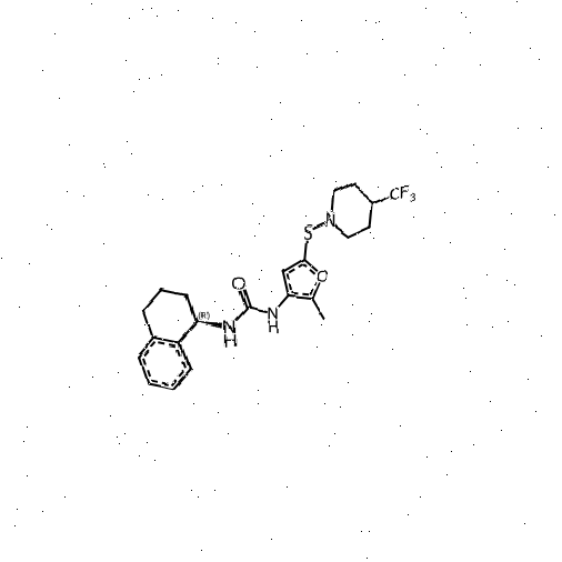 Cc1oc(SN2CCC(C(F)(F)F)CC2)cc1NC(=O)N[C@@H]1CCCc2ccccc21